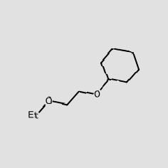 [CH2]COCCOC1CCCCC1